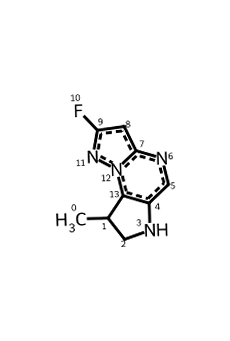 CC1CNc2cnc3cc(F)nn3c21